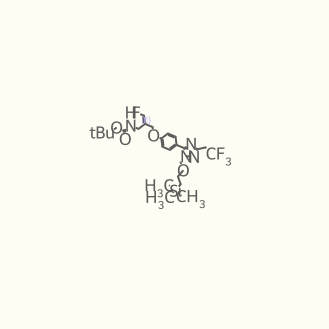 CC(C)(C)OC(=O)NC/C(=C\F)COc1ccc(-c2nc(CC(F)(F)F)nn2COCC[Si](C)(C)C)cc1